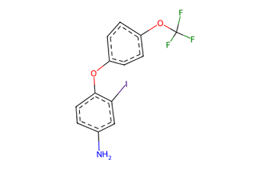 Nc1ccc(Oc2ccc(OC(F)(F)F)cc2)c(I)c1